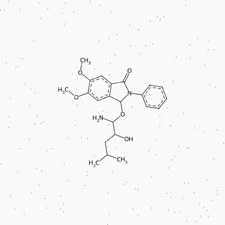 COc1cc2c(cc1OC)C(OC(N)C(O)CC(C)C)N(c1ccccc1)C2=O